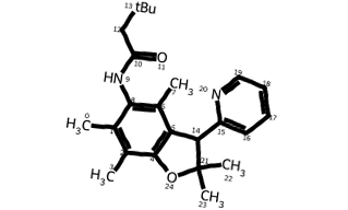 Cc1c(C)c2c(c(C)c1NC(=O)CC(C)(C)C)C(c1ccccn1)C(C)(C)O2